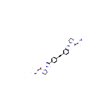 COO/C=N\[C@H](C(=O)N1CCC[C@H]1c1ncc(-c2ccc(C#Cc3ccc4nc([C@@H]5CCCN5C(=O)[C@@H](NC(=O)OC)C(C)C)[nH]c4c3)cc2)[nH]1)C(C)C